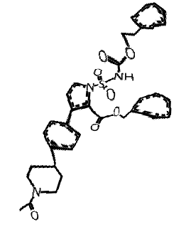 CC(=O)N1CCC(c2ccc(-c3ccn(S(=O)(=O)NC(=O)OCc4ccccc4)c3C(=O)OCc3ccccc3)cc2)CC1